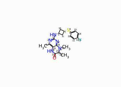 Cc1nc(N[C@H]2C[C@@H](Sc3ccc(F)cc3)C2)nc2c1NC(=O)[C@H](C)N2C